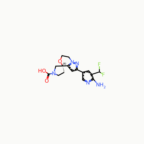 Nc1ncc(-c2cc3n(n2)CCO[C@@]32CCN(C(=O)O)C2)cc1C(F)F